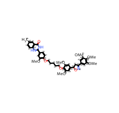 COc1cc(C2NC(=O)c3cc(C)ccc3N2)ccc1OCCCCCOc1c(OC)cc(C2CC(c3cc(OC)c(OC)c(OC)c3)=NO2)cc1OC